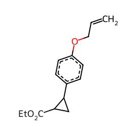 C=CCOc1ccc(C2CC2C(=O)OCC)cc1